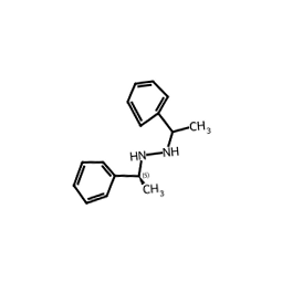 CC(NN[C@@H](C)c1ccccc1)c1ccccc1